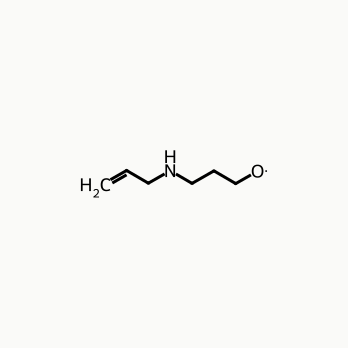 C=CCNCCC[O]